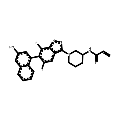 C=CC(=O)NC1CCCN(c2snc3c(F)c(-c4cc(O)cc5ccccc45)c(Cl)cc23)C1